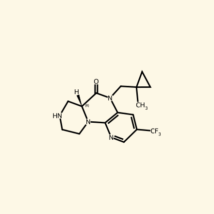 CC1(CN2C(=O)[C@H]3CNCCN3c3ncc(C(F)(F)F)cc32)CC1